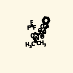 CC1(C)C2OCC(S(=O)(=O)Oc3cc4ccccc4o3)N21.FC(F)F